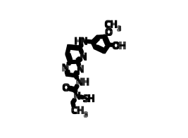 CCN(S)C(=O)Nc1cnc2ccc(Nc3ccc(O)c(OC)c3)nc2n1